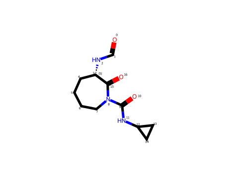 O=CN[C@H]1CCCCN(C(=O)NC2CC2)C1=O